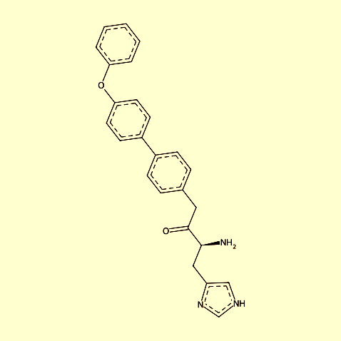 N[C@@H](Cc1c[nH]cn1)C(=O)Cc1ccc(-c2ccc(Oc3ccccc3)cc2)cc1